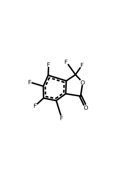 O=C1OC(F)(F)c2c(F)c(F)c(F)c(F)c21